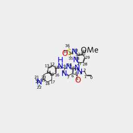 C=CCn1c(=O)c2cnc(Nc3ccc4c(c3)CCC(N(C)C)C4)nc2n1-c1ccc(OC)c(N=S(C)(C)=O)n1